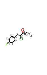 CC(=O)C(Cl)Cc1ccc(F)cc1